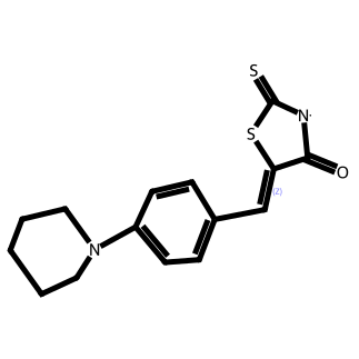 O=C1[N]C(=S)S/C1=C\c1ccc(N2CCCCC2)cc1